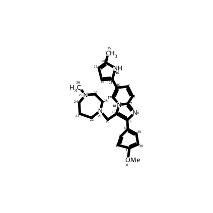 COc1ccc(-c2nc3ccc(-c4ccc(C)[nH]4)cn3c2CN2CCCN(C)CC2)cc1